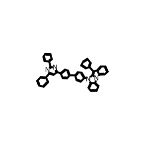 c1ccc(-c2cc(-c3ccc(-c4ccc(-n5c6ccccc6n6c7ccccc7c(-c7ccccc7)c56)cc4)cc3)nc(-c3ccccc3)n2)cc1